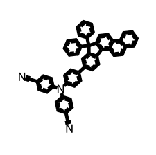 N#Cc1ccc(N(c2ccc(C#N)cc2)c2ccc(-c3ccc4c(c3)C(c3ccccc3)(c3ccccc3)c3ccc5c(ccc6ccccc65)c3-4)cc2)cc1